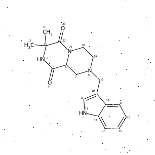 CC1(C)NC(=O)C2CN(Cc3c[nH]c4ccccc34)CCN2C1=O